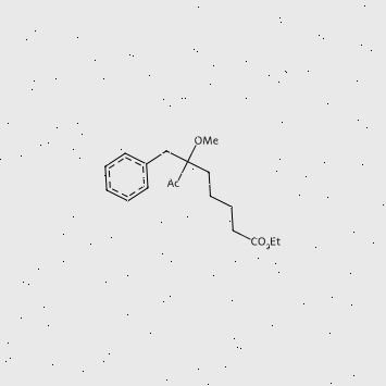 CCOC(=O)CCCCC(Cc1ccccc1)(OC)C(C)=O